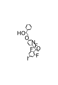 OC(COc1ccc(C(F)(F)C2(c3ccc(I)cc3F)CO2)nc1)c1ccccc1